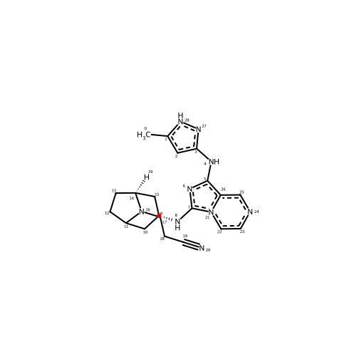 Cc1cc(Nc2nc(N[C@@H]3CC4CC[C@@H](C3)N4CCC#N)n3ccncc23)n[nH]1